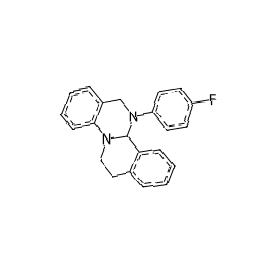 Fc1ccc(N2Cc3ccccc3N3CCc4ccccc4C23)cc1